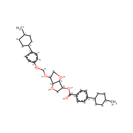 CC1CCC(c2ccc(OCOC3COC4C(OC(=O)c5ccc(C6CCC(C)CC6)cc5)COC34)cc2)CC1